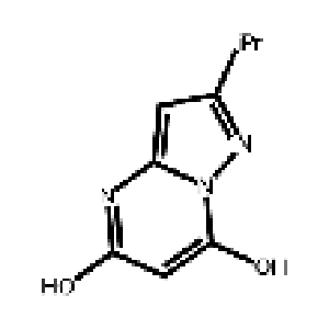 CC(C)c1cc2nc(O)cc(O)n2n1